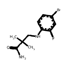 CC(C)(CNc1ccc(Br)cc1F)C(N)=O